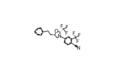 N#Cc1ccc(N2C[C@@H](CCc3ccccc3)O[C@@H]2C(F)(F)F)cc1C(F)(F)F